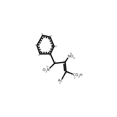 CC(=O)/C(C(=O)O)=C(\C(c1ccccc1)[N+](=O)[O-])[N+](=O)[O-]